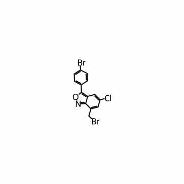 Clc1cc(CBr)c2noc(-c3ccc(Br)cc3)c2c1